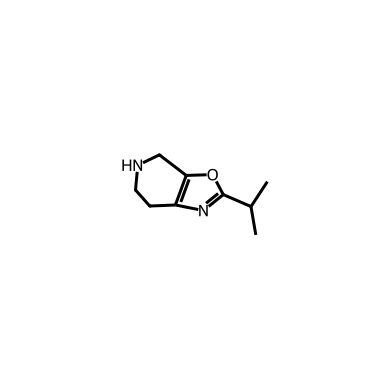 CC(C)c1nc2c(o1)CNCC2